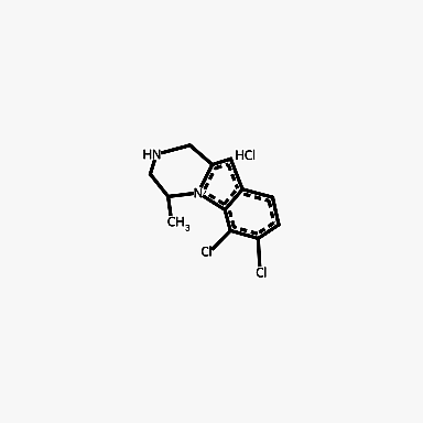 CC1CNCc2cc3ccc(Cl)c(Cl)c3n21.Cl